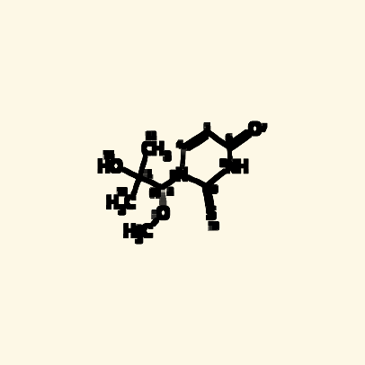 CO[C@@H](n1ccc(=O)[nH]c1=S)C(C)(C)O